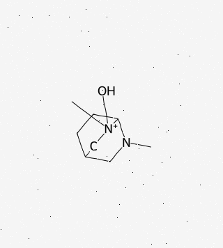 CN1CC2CCC1[N+](C)(O)C2